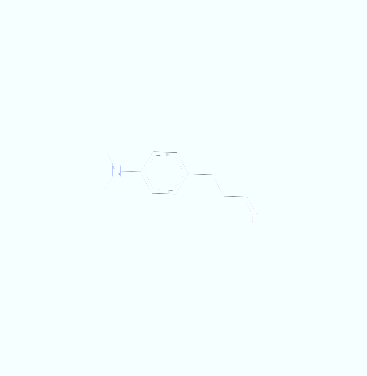 CN(C)c1ccc(CCC=O)cc1